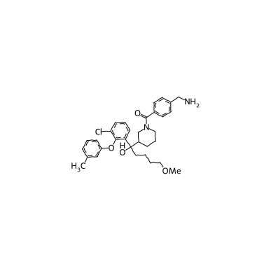 COCCCCC(O)(c1cccc(Cl)c1Oc1cccc(C)c1)C1CCCN(C(=O)c2ccc(CN)cc2)C1